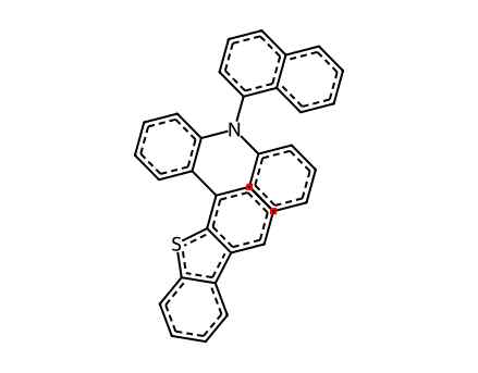 c1ccc(N(c2ccccc2-c2cccc3c2sc2ccccc23)c2cccc3ccccc23)cc1